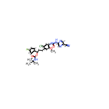 COc1cc(CCC(OC(=O)NC(C)(C)C)c2ccc(F)cc2)c(Cl)cc1NC(=O)Nc1cnc(C#N)cn1